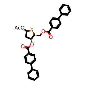 CC(=O)OC1C[C@H](OC(=O)c2ccc(-c3ccccc3)cc2)[C@H](COC(=O)c2ccc(-c3ccccc3)cc2)S1